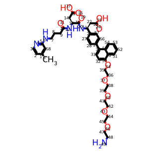 Cc1ccnc(NCCCC(=O)N[C@@H](CC(=O)O)C(=O)N[C@@H](CC(=O)O)c2ccc(-c3ccc(OCCOCCOCCOCCOCCN)c4ccccc34)cc2)c1